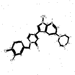 Cn1cc(-c2ccn(Cc3ccc(Cl)c(Cl)c3)c(=O)c2)c2cc(N3CCCOCC3)cnc21